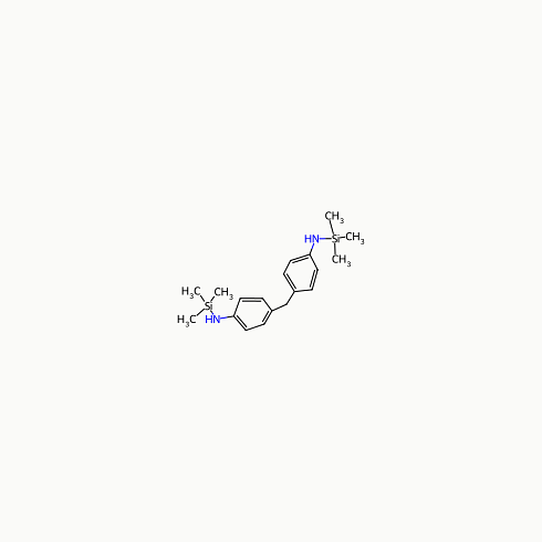 C[Si](C)(C)Nc1ccc(Cc2ccc(N[Si](C)(C)C)cc2)cc1